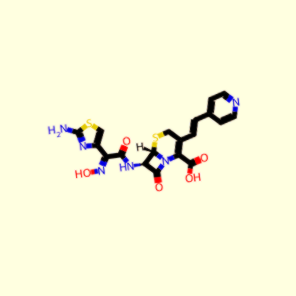 Nc1nc(C(=NO)C(=O)N[C@@H]2C(=O)N3C(C(=O)O)=C(/C=C/c4ccncc4)CS[C@@H]23)cs1